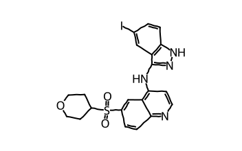 O=S(=O)(c1ccc2nccc(Nc3n[nH]c4ccc(I)cc34)c2c1)C1CCOCC1